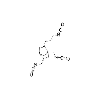 O=C=NCCCC1CC2CC1(CN=C=O)CC2CN=C=O